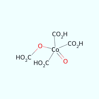 O=C(O)[O][Co](=[O])([C](=O)O)([C](=O)O)[C](=O)O